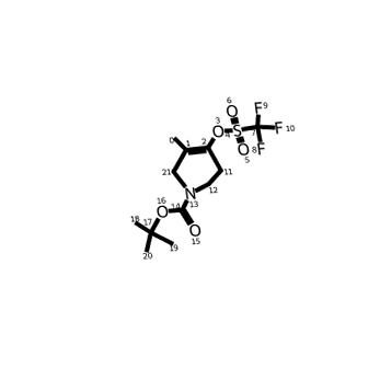 CC1=C(OS(=O)(=O)C(F)(F)F)CCN(C(=O)OC(C)(C)C)C1